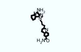 NC(=O)c1ccc2nc(CCCCn3cnc4c(N)nc5ccccc5c43)ccc2c1